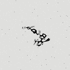 CC(C)n1cc(C(F)(F)F)nc1-c1ccc(CNc2nc(-c3c(OC(F)F)ncnc3C3CC3)nc3c2CCC3)cc1